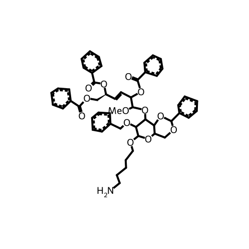 COC(OC1C2OC(c3ccccc3)OCC2OC(OCCCCCN)C1OCc1ccccc1)C(/C=C/[C@@H](COC(=O)c1ccccc1)OC(=O)c1ccccc1)OC(=O)c1ccccc1